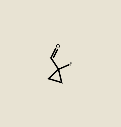 O=[C]C1(F)CC1